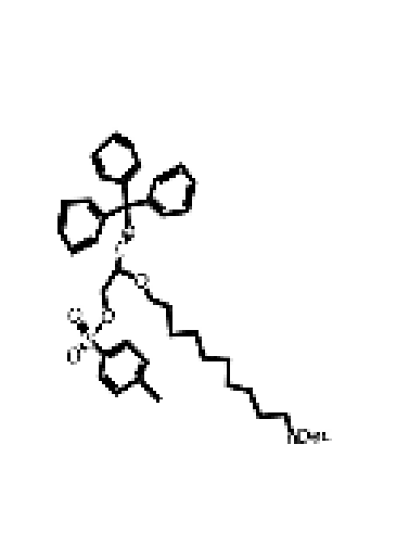 CCCCCCCCCCCCCCCCCCCCOC(COC(c1ccccc1)(c1ccccc1)c1ccccc1)COS(=O)(=O)c1ccc(C)cc1